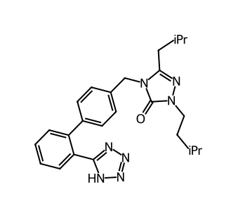 CC(C)CCn1nc(CC(C)C)n(Cc2ccc(-c3ccccc3-c3nnn[nH]3)cc2)c1=O